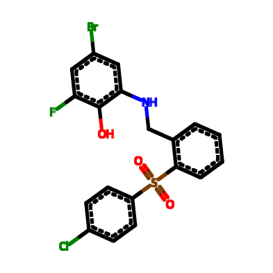 O=S(=O)(c1ccc(Cl)cc1)c1ccccc1CNc1cc(Br)cc(F)c1O